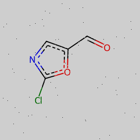 O=Cc1cnc(Cl)o1